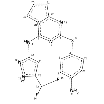 Nc1ccc(Sc2nc(Nc3cc(C(F)F)[nH]n3)n3cccc3n2)cc1